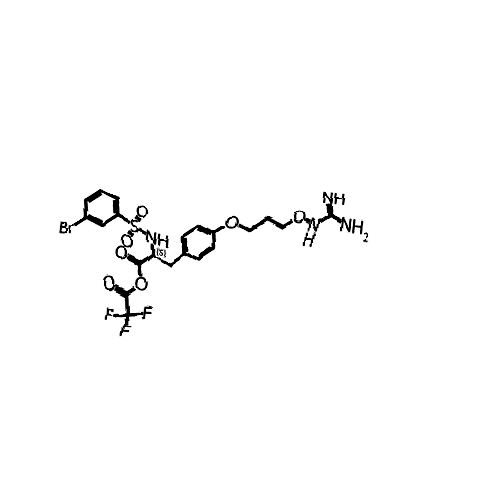 N=C(N)NOCCCOc1ccc(C[C@H](NS(=O)(=O)c2cccc(Br)c2)C(=O)OC(=O)C(F)(F)F)cc1